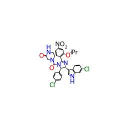 CC(C)Oc1cc([N+](=O)[O-])ccc1C1=N[C@@H](c2c[nH]c3cc(Cl)ccc23)[C@@H](c2ccc(Cl)cc2)N1C(=O)N1CCNC(=O)C1